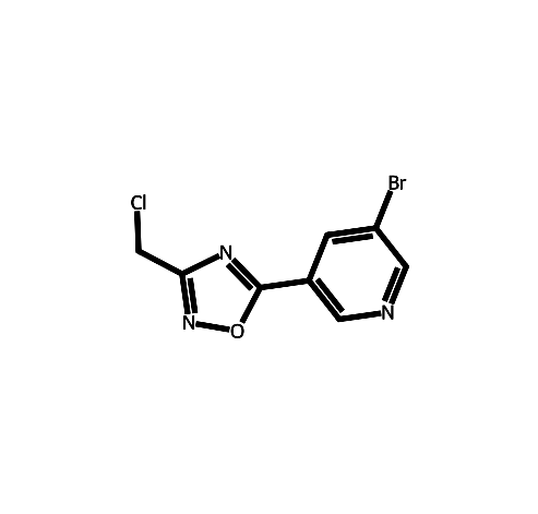 ClCc1noc(-c2cncc(Br)c2)n1